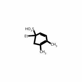 CCC1(S(=O)(=O)O)C=CC(C)=C(C)C1